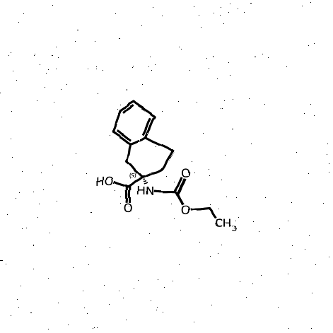 CCOC(=O)N[C@@]1(C(=O)O)CCc2ccccc2C1